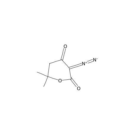 CC1(C)CC(=O)C(=[N+]=[N-])C(=O)O1